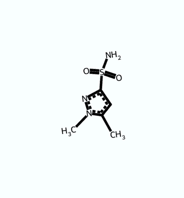 Cc1cc(S(N)(=O)=O)nn1C